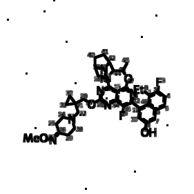 CCc1c(F)ccc2cc(O)cc(-c3nc4c5c(nc(OCC6(CN7CCC(=NOC)CC7)CC6)nc5c3F)N3CC5CCC(N5)C3C(C)O4)c12